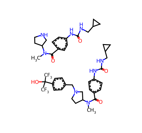 CN(C(=O)c1ccc(NC(=O)NCC2CC2)cc1)C1CCN(Cc2ccc(C(O)(C(F)(F)F)C(F)(F)F)cc2)C1.CN(C(=O)c1ccc(NC(=O)NCC2CC2)cc1)C1CCNC1